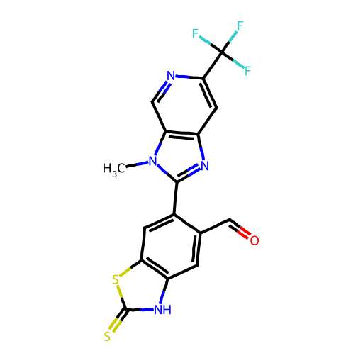 Cn1c(-c2cc3sc(=S)[nH]c3cc2C=O)nc2cc(C(F)(F)F)ncc21